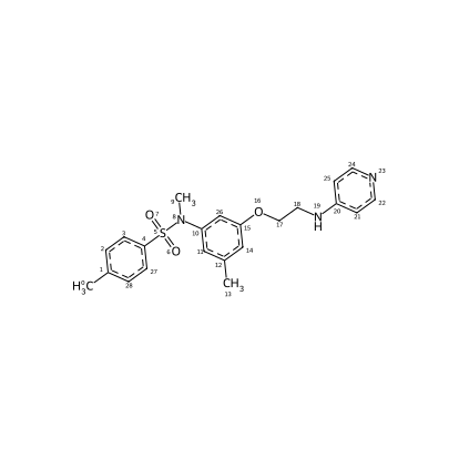 Cc1ccc(S(=O)(=O)N(C)c2cc(C)cc(OCCNc3ccncc3)c2)cc1